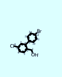 OCc1ccc(Cl)cc1-c1ccc(Br)cc1